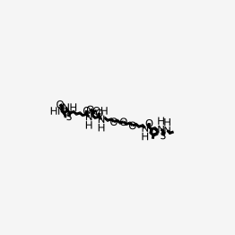 CCNC(=S)Nc1cc(C)cc(C(=O)NCCCOCCOCCOCCCNC(=O)CC(NC(=O)CCCCC2SCC3NC(=O)NC32)C(=O)O)c1